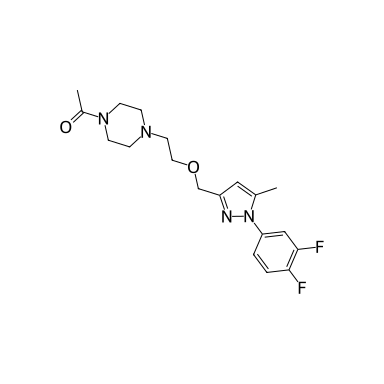 CC(=O)N1CCN(CCOCc2cc(C)n(-c3ccc(F)c(F)c3)n2)CC1